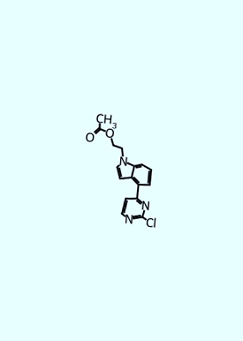 CC(=O)OCCn1ccc2c(-c3ccnc(Cl)n3)cccc21